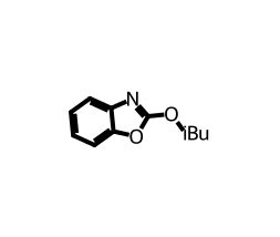 CCC(C)Oc1nc2ccccc2o1